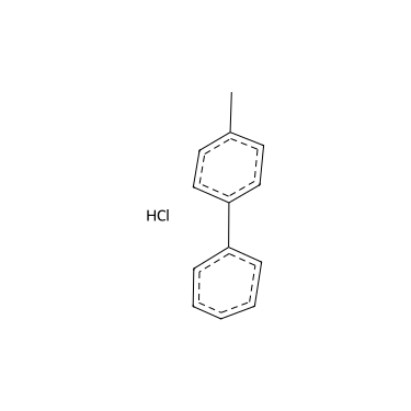 Cc1ccc(-c2ccccc2)cc1.Cl